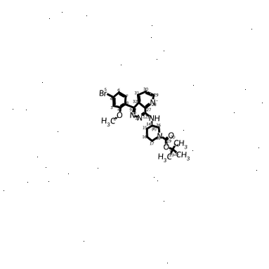 COc1cc(Br)ccc1-c1nnc(N[C@@H]2CCCN(C(=O)OC(C)(C)C)C2)c2ncccc12